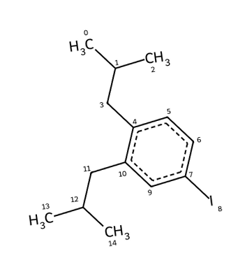 CC(C)Cc1ccc(I)cc1CC(C)C